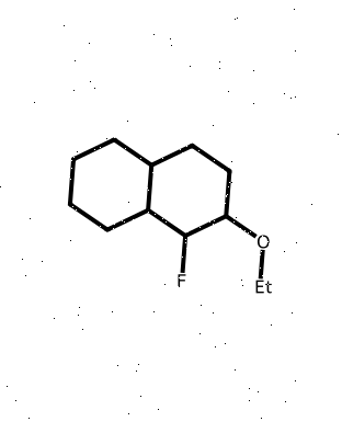 CCOC1CCC2CCCCC2C1F